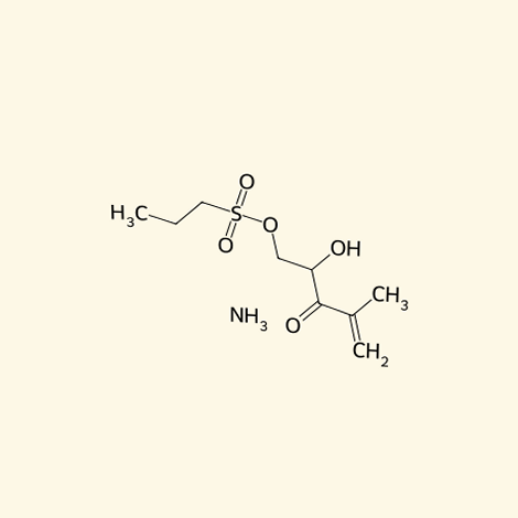 C=C(C)C(=O)C(O)COS(=O)(=O)CCC.N